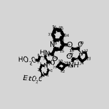 CCOC(=O)N1CCN(C(=O)[C@H](CCC(=O)O)NC(=O)c2cc(OCC(=O)N3CCC[C@H]3C(=O)NC3CCC3)c3ccccc3n2)CC1